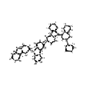 c1ccc(-c2cc(-n3c4ccccc4c4cc(-c5ccc6c(c5)c5ccccc5n6-c5ccc6sc7ccccc7c6c5)ccc43)c3ccccc3c2)cc1